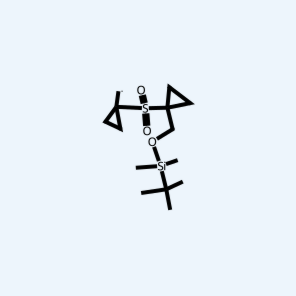 [CH2]C1(S(=O)(=O)C2(CO[Si](C)(C)C(C)(C)C)CC2)CC1